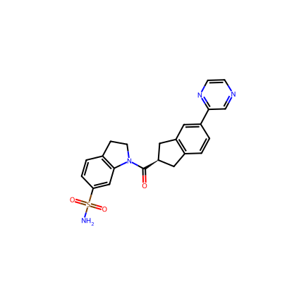 NS(=O)(=O)c1ccc2c(c1)N(C(=O)[C@@H]1Cc3ccc(-c4cnccn4)cc3C1)CC2